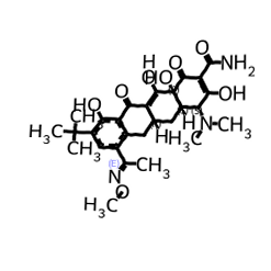 CO/N=C(\C)c1cc(C(C)(C)C)c(O)c2c1C[C@H]1C[C@H]3[C@H](N(C)C)C(O)=C(C(N)=O)C(=O)[C@@]3(O)C(O)=C1C2=O